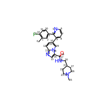 Cc1cc(-c2ncccc2-c2ccc3ncc(C(=O)NCC4CCN(C)CC4)n3c2)ccc1F